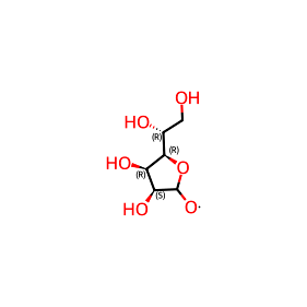 [O]C1O[C@H]([C@H](O)CO)[C@H](O)[C@@H]1O